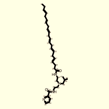 CCC=CCC=CCC=CCC=CCC=CCC=CCCC(=O)NCCN(CCNC(=O)c1cccnc1)CC(C)C